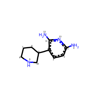 Nc1ccc(C2CCCNC2)c(N)n1